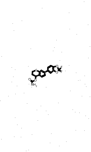 NC(=O)OC1CCSc2cc(-c3ccc4c(c3)OC(F)(F)O4)ccc21